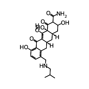 CC(C)CNCc1ccc(O)c2c1C[C@H]1C[C@H]3CC(O)C(C(N)=O)C(=O)[C@@]3(O)C(O)=C1C2=O